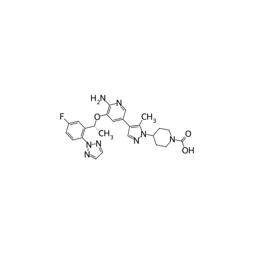 Cc1c(-c2cnc(N)c(O[C@H](C)c3cc(F)ccc3-n3nccn3)c2)cnn1C1CCN(C(=O)O)CC1